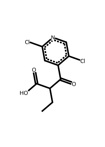 CCC(C(=O)O)C(=O)c1cc(Cl)ncc1Cl